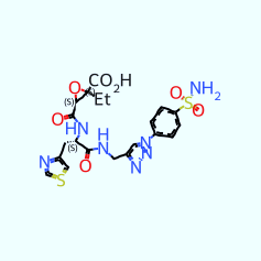 CC[C@]1(C(=O)O)O[C@@H]1C(=O)N[C@@H](Cc1cscn1)C(=O)NCc1cn(-c2ccc(S(N)(=O)=O)cc2)nn1